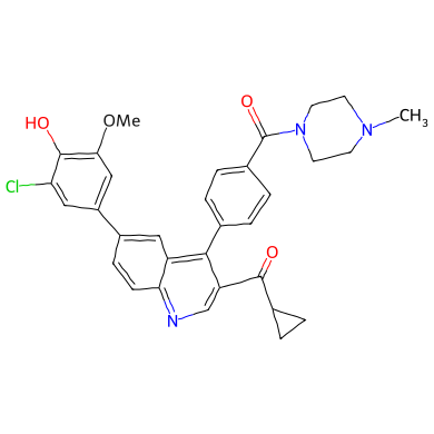 COc1cc(-c2ccc3ncc(C(=O)C4CC4)c(-c4ccc(C(=O)N5CCN(C)CC5)cc4)c3c2)cc(Cl)c1O